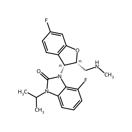 CNC[C@H]1Oc2cc(F)ccc2[C@H]1n1c(=O)n(C(C)C)c2cccc(F)c21